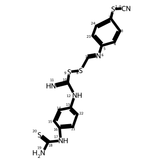 N#CSc1ccc(N=CSSC(=N)Nc2ccc(NC(N)=S)cc2)cc1